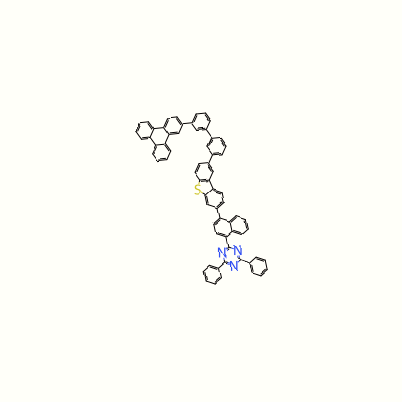 c1ccc(-c2nc(-c3ccccc3)nc(-c3ccc(-c4ccc5c(c4)sc4ccc(-c6cccc(-c7cccc(-c8ccc9c%10ccccc%10c%10ccccc%10c9c8)c7)c6)cc45)c4ccccc34)n2)cc1